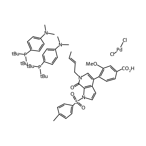 C/C=C/Cn1cc(-c2ccc(C(=O)O)cc2OC)c2ccn(S(=O)(=O)c3ccc(C)cc3)c2c1=O.CN(C)c1ccc(P(C(C)(C)C)C(C)(C)C)cc1.CN(C)c1ccc(P(C(C)(C)C)C(C)(C)C)cc1.[Cl][Pd][Cl]